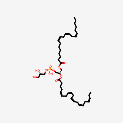 CC/C=C\C/C=C\C/C=C\C/C=C\C/C=C\CCCC(=O)O[C@H](COC(=O)CCCCCC/C=C\C/C=C\C/C=C\CCCCC)COP(=O)(O)OC[C@@H](O)CO